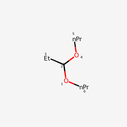 CCCO[C](CC)OCCC